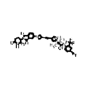 CC(C)(C(=O)Nc1ccc(C#N)cc1C(F)(F)F)n1cc(C#CC2CN(c3ccc4c(c3)C(=O)N(C3CCC(=O)NC3=O)C4=O)C2)cn1